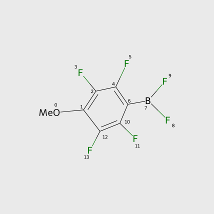 COc1c(F)c(F)c(B(F)F)c(F)c1F